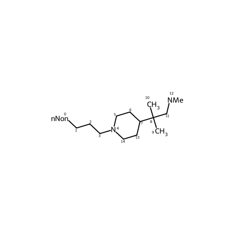 CCCCCCCCCCCCN1CCC(C(C)(C)CNC)CC1